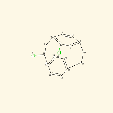 Clc1cc2ccc1CC(Cl)c1ccc(cc1)CC2